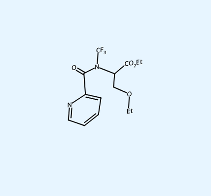 CCOCC(C(=O)OCC)N(C(=O)c1ccccn1)C(F)(F)F